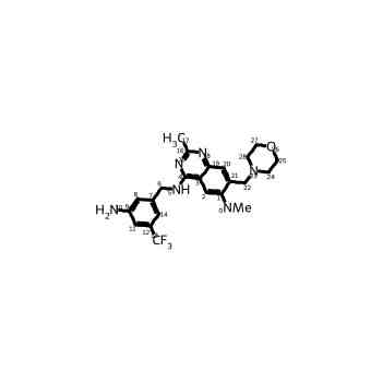 CNc1cc2c(NCc3cc(N)cc(C(F)(F)F)c3)nc(C)nc2cc1CN1CCOCC1